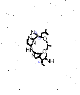 C=C(C)C/C1=C(\C=N/C)c2nccc(n2)Nc2cc(c(/C(=C/C)C(=N)I)cn2)OCC(C)CO1